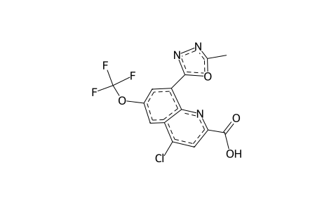 Cc1nnc(-c2cc(OC(F)(F)F)cc3c(Cl)cc(C(=O)O)nc23)o1